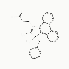 CC1=[N+](CCC(=O)O)c2c(c3ccccc3c3ccccc23)C1(C)Cc1ccccc1